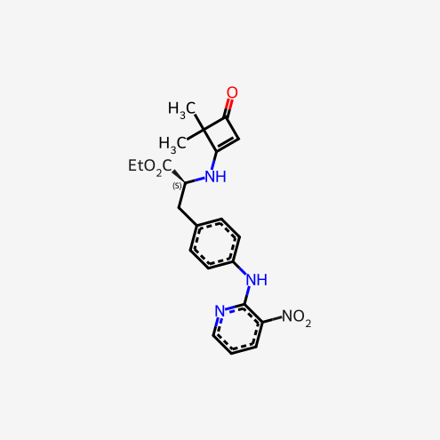 CCOC(=O)[C@H](Cc1ccc(Nc2ncccc2[N+](=O)[O-])cc1)NC1=CC(=O)C1(C)C